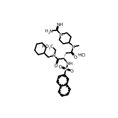 CN(C(=O)C[C@H](NS(=O)(=O)c1ccc2ccccc2c1)C(=O)N(CC(=O)O)CC1CCCCC1)C1CCN(C(=N)N)CC1.Cl